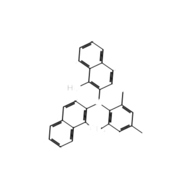 Cc1cc(C)c(P(c2ccc3ccccc3c2O)c2ccc3ccccc3c2O)c(C)c1